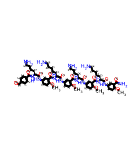 COc1ccc(NC(=O)[C@H](CCCCCN)NC(=O)c2cc(NC(=O)[C@H](CCCCN)NC(=O)c3cc(NC(=O)[C@H](CCCCCN)NC(=O)c4cc(NC(=O)[C@H](CCCCN)NC(=O)c5ccc(C=O)cc5)ccc4OC)ccc3OC)ccc2OC)cc1C(N)=O